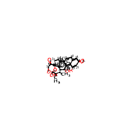 CCC(C)C1(O)OCC(=O)[C@]2(CC[C@H]3[C@@H]4CCC5=CC(=O)C=C[C@]5(C)[C@H]4C(O)C[C@@]32C)O1